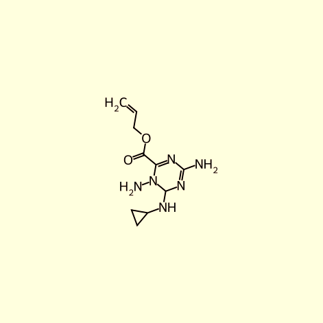 C=CCOC(=O)C1=NC(N)=NC(NC2CC2)N1N